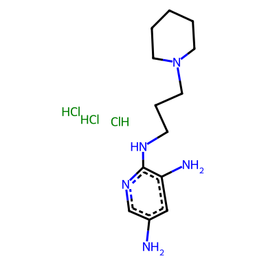 Cl.Cl.Cl.Nc1cnc(NCCCN2CCCCC2)c(N)c1